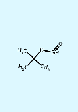 CC(C)(C)O[SiH]=O